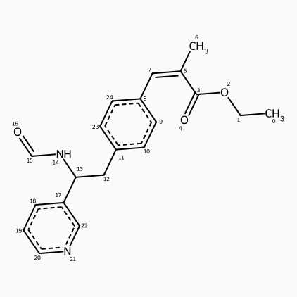 CCOC(=O)C(C)=Cc1ccc(CC(NC=O)c2cccnc2)cc1